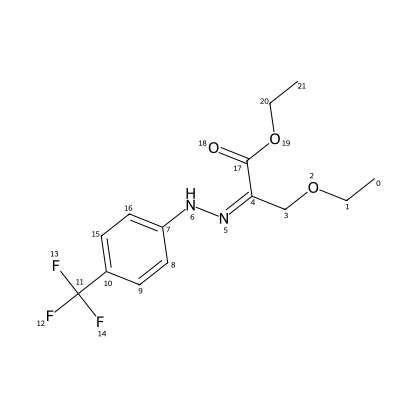 CCOCC(=NNc1ccc(C(F)(F)F)cc1)C(=O)OCC